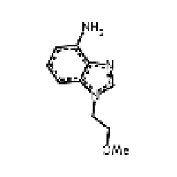 COCCn1cnc2c(N)cccc21